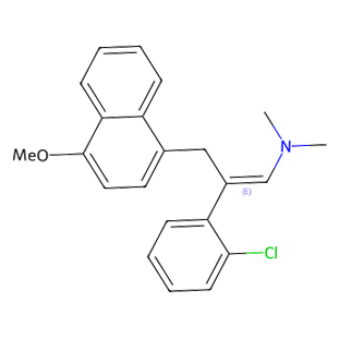 COc1ccc(C/C(=C\N(C)C)c2ccccc2Cl)c2ccccc12